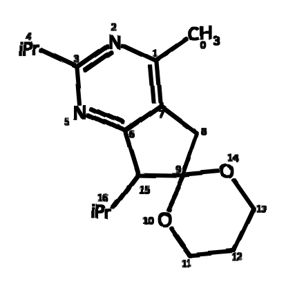 Cc1nc(C(C)C)nc2c1CC1(OCCCO1)C2C(C)C